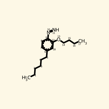 CCCCCCc1ccc(N=N)c(OCCCC)c1